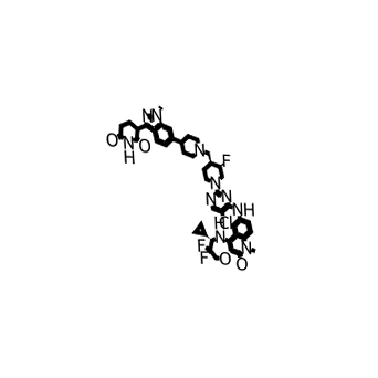 Cn1nc(C2CCC(=O)NC2=O)c2ccc(C3CCN(C[C@@H]4CCN(c5ncc(Cl)c(Nc6ccc7c(c6)c6c(c(=O)n7C)OCC(F)(F)[C@H](C7CC7)N6)n5)C[C@H]4F)CC3)cc21